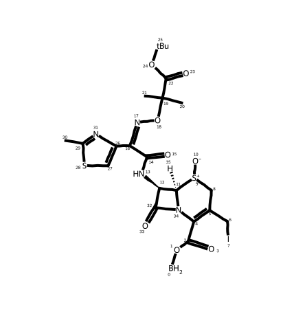 BOC(=O)C1=C(CI)C[S+]([O-])[C@@H]2[C@H](NC(=O)/C(=N\OC(C)(C)C(=O)OC(C)(C)C)c3csc(C)n3)C(=O)N12